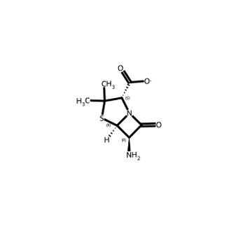 CC1(C)S[C@@H]2[C@H](N)C(=O)N2[C@H]1C([O])=O